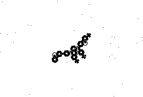 CC(C)(C)c1ccc2c(c1)B1c3cc(C(C)(C)C)ccc3N(c3ccc4c(c3)oc3cc(C(C)(C)C)ccc34)c3cccc(c31)N2c1ccc(-c2ccc3oc4ccccc4c3c2)cc1